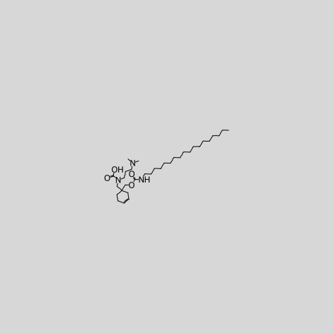 CCCCCCCCCCCCCCCCCCNC(=O)OCC1(CN(CCCN(C)C)C(=O)O)CC=CCC1